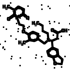 CCCCN(Cc1ccc(OCCn2c(=O)ccn(C)c2=O)c(C)c1)C(CC(=O)O)c1ccc2c(c1)CCO2